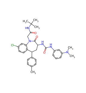 Cc1ccc(C2CC(NC(=O)Nc3cccc(N(C)C)c3)C(=O)N(CC(=O)NC(C)(C)C)c3cc(Cl)ccc32)cc1